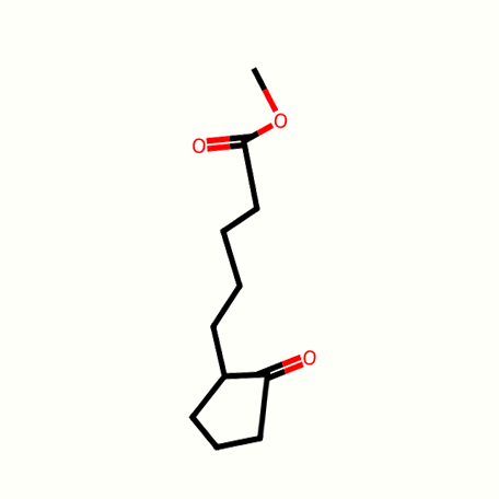 COC(=O)CCCCC1CCCC1=O